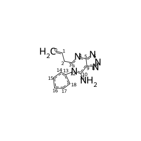 C=CCc1nc2nnnc-2c(N)n1-c1ccccc1